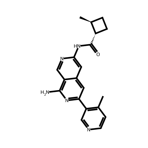 Cc1ccncc1-c1cc2cc(NC(=O)[C@H]3CC[C@@H]3C)ncc2c(N)n1